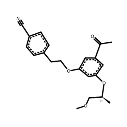 COC[C@H](C)Oc1cc(OCCc2ccc(C#N)cc2)cc(C(C)=O)c1